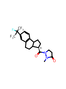 CN1C(=O)CCN1C(=O)[C@@H]1CCC2c3ccc(C(F)(C(F)(F)F)C(F)(F)F)cc3CCC21